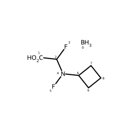 B.O=C(O)C(F)N(F)C1CCC1